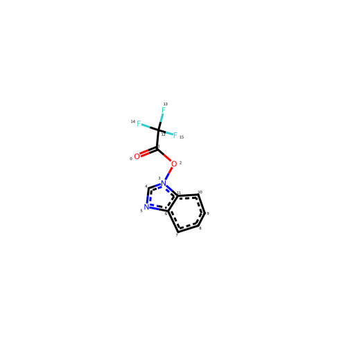 O=C(On1cnc2ccccc21)C(F)(F)F